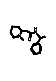 CC(NC(=O)CC1CCCCN1C)c1ccccc1